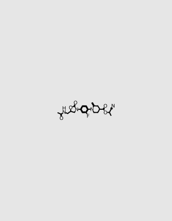 C=C1CC(C(=O)OC(C)C#N)CCN1c1ccc(N2CC(CNC(C)=O)OC2=O)cc1F